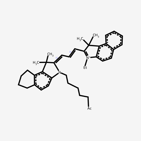 CC[N+]1=C(/C=C/C=C2\N(CCCCCC(C)=O)c3ccc4c(c3C2(C)C)CCCC4)C(C)(C)c2c1ccc1ccccc21